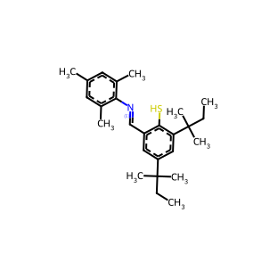 CCC(C)(C)c1cc(/C=N/c2c(C)cc(C)cc2C)c(S)c(C(C)(C)CC)c1